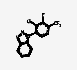 Fc1c(C(F)(F)F)ccc(-n2nnc3ccccc32)c1Cl